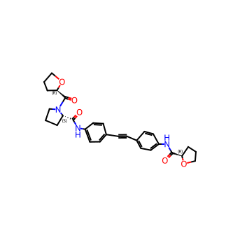 O=C(Nc1ccc(C#Cc2ccc(NC(=O)[C@@H]3CCCN3C(=O)[C@H]3CCCO3)cc2)cc1)[C@H]1CCCO1